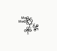 CO[C@@]1(C)O[C@H](COS(C)(=O)=O)[C@@H](COS(C)(=O)=O)O[C@]1(C)OC